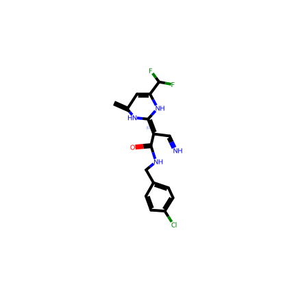 C=C1C=C(C(F)F)N/C(=C(\C=N)C(=O)NCc2ccc(Cl)cc2)N1